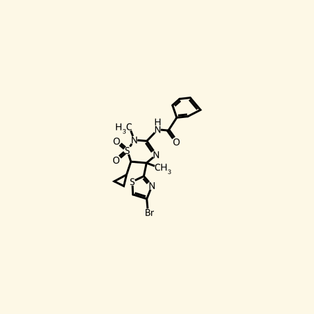 CN1C(NC(=O)c2ccccc2)=NC(C)(c2nc(Br)cs2)C(C2CC2)S1(=O)=O